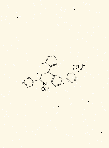 Cc1cc(C(CC(c2cccc(-c3cccc(C(=O)O)c3)c2)c2ccccc2C)=NO)ccn1